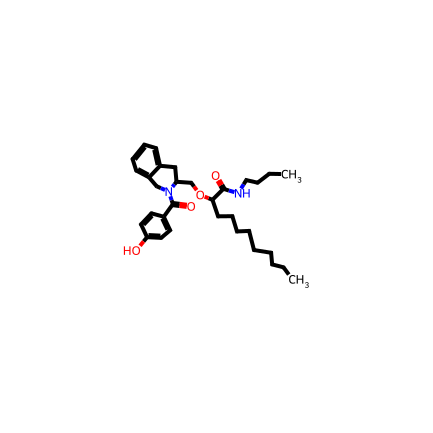 CCCCCCCCCC(OCC1Cc2ccccc2CN1C(=O)c1ccc(O)cc1)C(=O)NCCCC